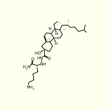 CC(C)CCC[C@@H](C)[C@H]1CC[C@H]2[C@@H]3CC=C4C[C@@](O)(C(=O)NN[C@@H](CCCCN)C(N)=O)CC[C@]4(C)[C@H]3CC[C@]12C